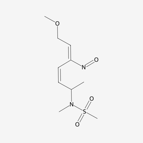 COC/C=C(\C=C/C(C)N(C)S(C)(=O)=O)N=O